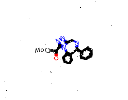 COC(=O)c1nnc2n1-c1ccccc1C(c1ccccc1)=NC2